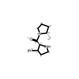 CC(C)C1CCN[C@@H]1C(=O)N1CCC[C@@H]1C